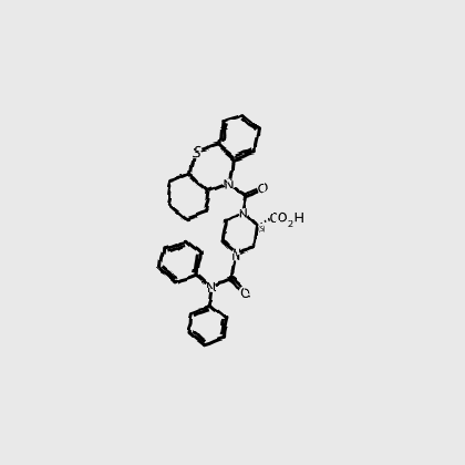 O=C(O)[C@@H]1CN(C(=O)N(c2ccccc2)c2ccccc2)CCN1C(=O)N1c2ccccc2SC2CCCCC21